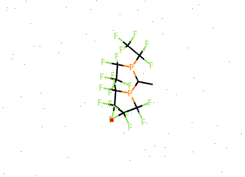 CC(P(C(F)(F)C(F)(F)F)C(F)(F)C(F)(F)F)P(C(F)(F)C(F)(F)F)C(F)(F)C(F)(F)F